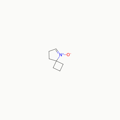 [O-][N+]1=CCCC12CCC2